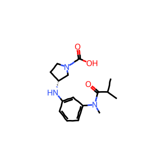 CC(C)C(=O)N(C)c1cccc(N[C@@H]2CCN(C(=O)O)C2)c1